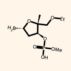 B[C@H]1C[C@H](OP(=O)(O)OC)[C@@](C)(COCC)O1